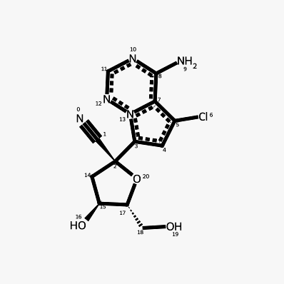 N#C[C@]1(c2cc(Cl)c3c(N)ncnn23)C[C@H](O)[C@@H](CO)O1